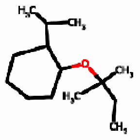 CCC(C)(C)OC1CCCCC1C(C)C